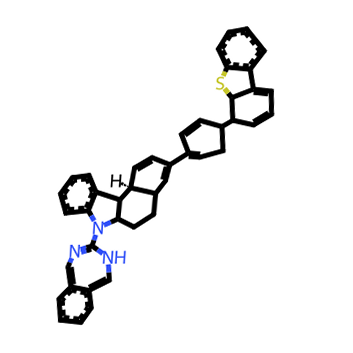 C1=CC(C2C=CC(C3=CC4CCC5C(c6ccccc6N5C5=NC=c6ccccc6=CN5)[C@H]4C=C3)=CC2)C2Sc3ccccc3C2=C1